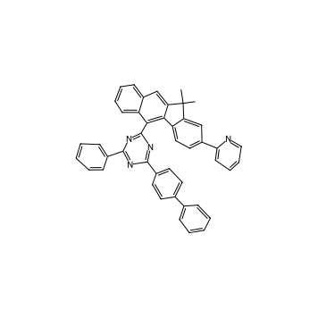 CC1(C)c2cc(-c3ccccn3)ccc2-c2c1cc1ccccc1c2-c1nc(-c2ccccc2)nc(-c2ccc(-c3ccccc3)cc2)n1